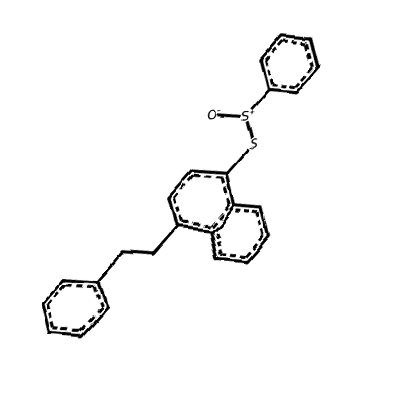 [O-][S+](Sc1ccc(CCc2ccccc2)c2ccccc12)c1ccccc1